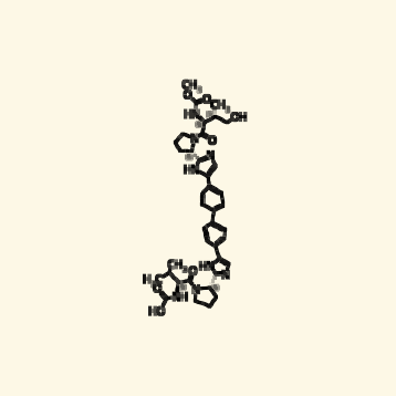 COC(=O)N[C@H](C(=O)N1CCC[C@H]1c1ncc(-c2ccc(-c3ccc(-c4cnc([C@@H]5CCCN5C(=O)[C@@H](NC(=O)O)C(C)C)[nH]4)cc3)cc2)[nH]1)[C@H](C)CO